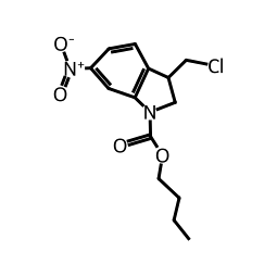 CCCCOC(=O)N1CC(CCl)c2ccc([N+](=O)[O-])cc21